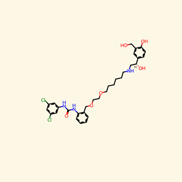 O=C(Nc1cc(Cl)cc(Cl)c1)Nc1ccccc1COCCOCCCCCCNC[C@@H](O)c1ccc(O)c(CO)c1